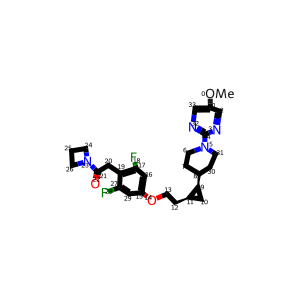 COc1cnc(N2CCC([C@H]3C[C@H]3CCOc3cc(F)c(CC(=O)N4CCC4)c(F)c3)CC2)nc1